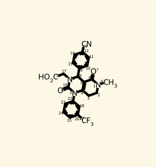 CN1CCC2=C(C1=O)C(c1ccc(C#N)cc1)N(CC(=O)O)C(=O)N2c1cccc(C(F)(F)F)c1